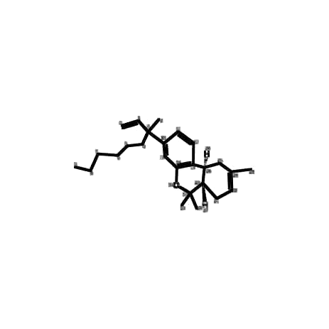 C=CC(C)(CCCCCC)c1ccc2c(c1)OC(C)(C)[C@H]1CC=C(C)C[C@H]21